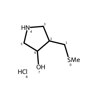 CSCC1CNCC1O.Cl